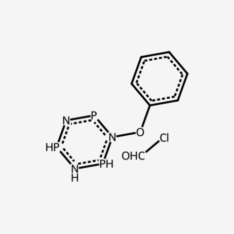 O=CCl.c1ccc(On2pn[pH][nH][pH]2)cc1